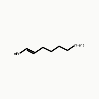 CCCC=CCCCC[CH]CCCC